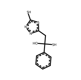 OC(S)(Cc1nnc(S)s1)c1ccccc1